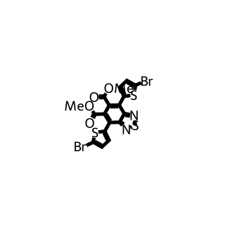 COC(=O)c1c(C(=O)OC)c(-c2ccc(Br)s2)c2nsnc2c1-c1ccc(Br)s1